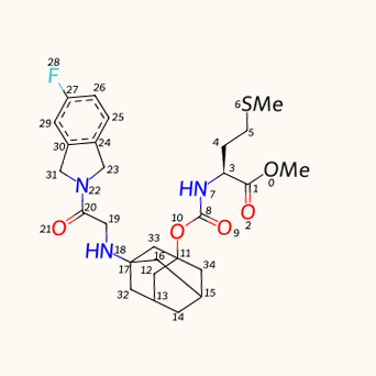 COC(=O)[C@H](CCSC)NC(=O)OC12CC3CC(CC(NCC(=O)N4Cc5ccc(F)cc5C4)(C3)C1)C2